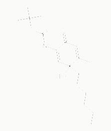 CCCCCCC1(O)C=C(NC(=O)OC(C)(C)C)C(=O)C=C1C